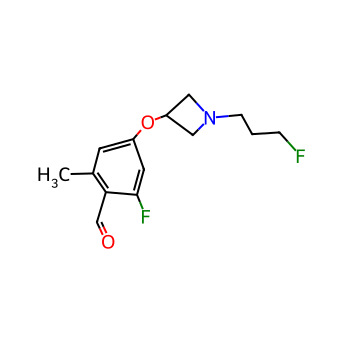 Cc1cc(OC2CN(CCCF)C2)cc(F)c1C=O